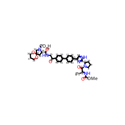 COC(=O)N[C@H](C(=O)N1CCC[C@H]1c1nc(-c2ccc(-c3ccc(C(=O)CNC(=O)[C@@H]4CC5(CN4C(=O)O)OCCCO5)cc3)cc2)c[nH]1)C(C)C